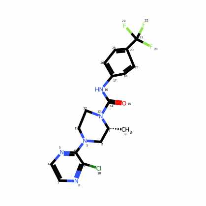 C[C@@H]1CN(c2nccnc2Cl)CCN1C(=O)Nc1ccc(C(F)(F)F)cc1